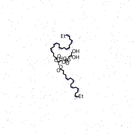 CC/C=C\C/C=C\C/C=C\C/C=C\C/C=C\C/C=C\CCC(=O)O[C@H](COC(=O)CCC/C=C\C/C=C\C/C=C\C/C=C\C/C=C\CC)COP(=O)(O)OC[C@@H](O)CO